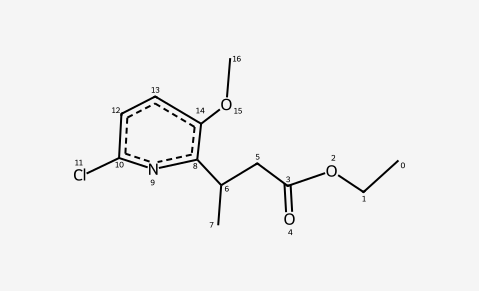 CCOC(=O)CC(C)c1nc(Cl)ccc1OC